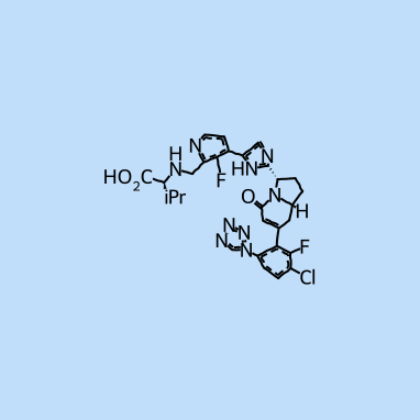 CC(C)[C@H](NCc1nccc(-c2cnc([C@@H]3CC[C@@H]4CC(c5c(-n6cnnn6)ccc(Cl)c5F)=CC(=O)N43)[nH]2)c1F)C(=O)O